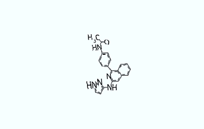 CC(=O)Nc1ccc(-c2nc(Nc3cc[nH]n3)cc3ccccc23)cc1